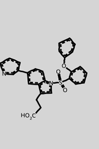 O=C(O)CCc1cn(S(=O)(=O)c2ccccc2Oc2ccccc2)c2ccc(-c3cccnc3)cc12